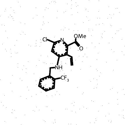 C=Cc1c(NCc2ccccc2C(F)(F)F)cc(Cl)nc1C(=O)OC